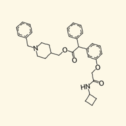 O=C(COc1cccc(C(C(=O)OCC2CCN(Cc3ccccc3)CC2)c2ccccc2)c1)NC1CCC1